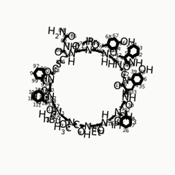 CCCC[C@H]1C(=O)N(C)CC(=O)N[C@@H](CC)C(=O)N[C@@H](C(C)C)C(=O)N(C)[C@@H](Cc2ccccc2)C(=O)N[C@H]2Cc3ccc(O)cc3N(CC(=O)N[C@@H](Cc3c[nH]c4ccccc34)C(=O)N[C@@H](Cc3ccc(O)cc3)C(=O)N[C@@H](CC(C)C)C(=O)N[C@H](C(=O)NCC(N)=O)CSCC(=O)N[C@@H](Cc3ccccc3)C(=O)N(C)[C@@H](Cc3ccccc3)C(=O)N1C)C2=O